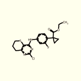 CCOC(=O)C1(c2ccc(Nc3nc(Cl)nc4c3SCCC4)cc2F)CC1